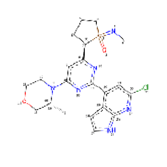 CN=S1(=O)CCC[C@@H]1c1cc(N2CCOC[C@H]2C)nc(-c2cc(Cl)nc3[nH]ccc23)n1